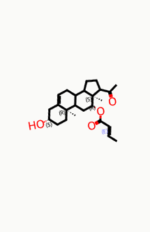 C/C=C/C(=O)O[C@@H]1CC2C(CC=C3C[C@@H](O)CC[C@@]32C)C2CCC(C(C)=O)[C@]21C